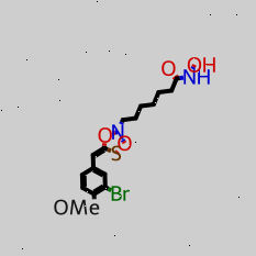 COc1ccc(C=C2ON(CCCCCCC(=O)NO)OS2)cc1Br